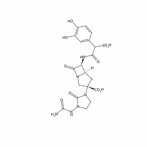 NC(=O)NN1CCN([C@]2(C(=O)O)CN3C(=O)[C@@H](NC(=O)C(c4ccc(O)c(O)c4)S(=O)(=O)O)[C@H]3S2)C1=O